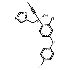 CC#C[C@](O)(Cn1cncn1)c1ccc(Oc2ccc(Cl)cc2)cc1Cl